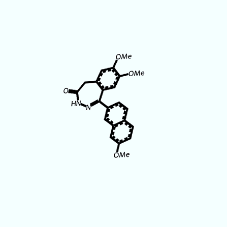 COc1ccc2ccc(C3=NNC(=O)Cc4cc(OC)c(OC)cc43)cc2c1